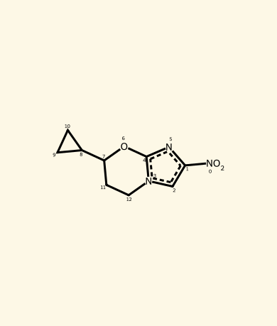 O=[N+]([O-])c1cn2c(n1)OC(C1CC1)CC2